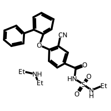 CCNCC.CCNS(=O)(=O)NC(=O)c1ccc(Oc2ccccc2-c2ccccc2)c(C#N)c1